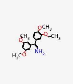 CCOc1cc(C(=CN)c2cc(OC)cc(OC)c2)ccc1OC